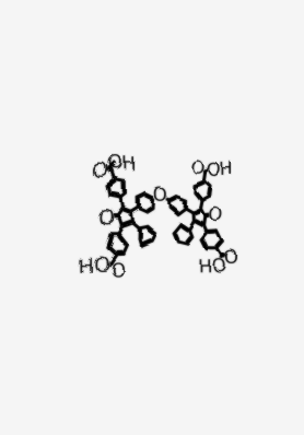 O=C1C(c2ccc(C(=O)O)cc2)=C(c2ccccc2)C(c2ccc(Oc3ccc(C4=C(c5ccc(C(=O)O)cc5)C(=O)C(c5ccc(C(=O)O)cc5)=C4c4ccccc4)cc3)cc2)=C1c1ccc(C(=O)O)cc1